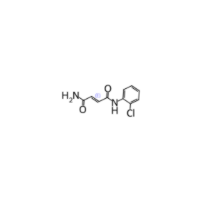 NC(=O)/C=C/C(=O)Nc1ccccc1Cl